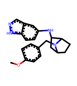 COc1ccc(CN2C3CCC2C(Nc2ccc4[nH]ncc4c2)C3)cc1